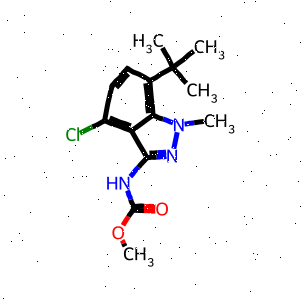 COC(=O)Nc1nn(C)c2c(C(C)(C)C)ccc(Cl)c12